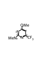 CNc1nc(OC)[c]c(C(F)(F)F)n1